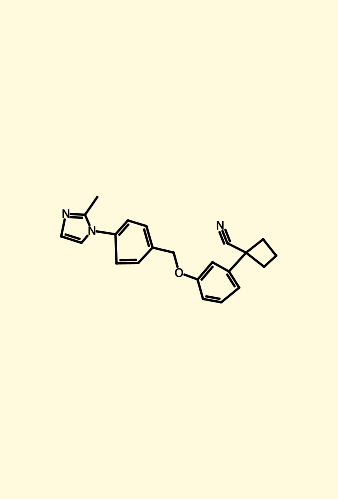 Cc1nccn1-c1ccc(COc2cccc(C3(C#N)CCC3)c2)cc1